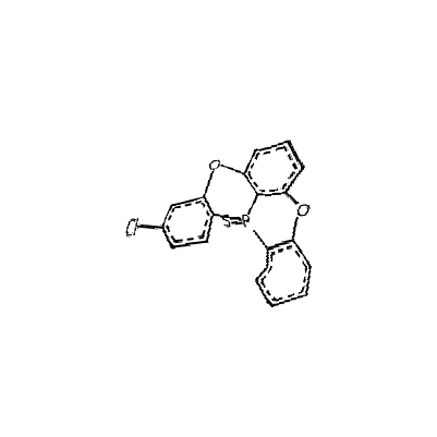 S=P12c3ccccc3Oc3cccc(c31)Oc1cc(Cl)ccc12